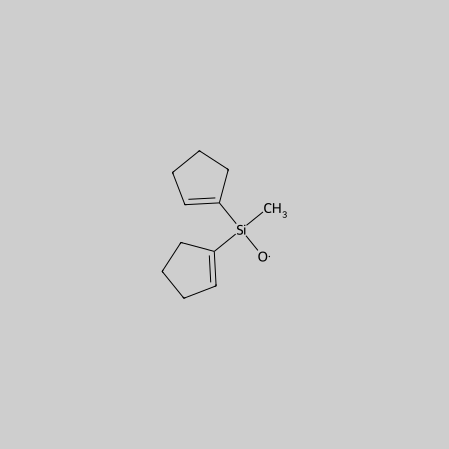 C[Si]([O])(C1=CCCC1)C1=CCCC1